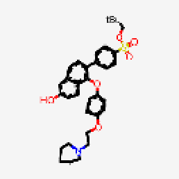 CC(C)(C)COS(=O)(=O)c1ccc(-c2ccc3cc(O)ccc3c2Oc2ccc(OCCN3CCCCC3)cc2)cc1